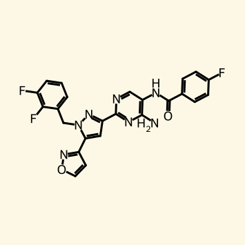 Nc1nc(-c2cc(-c3ccon3)n(Cc3cccc(F)c3F)n2)ncc1NC(=O)c1ccc(F)cc1